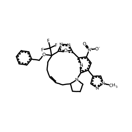 Cn1cc(-c2cc([N+](=O)[O-])c3nc2N2CCCC2CC=CCCC(OCc2ccccc2)(C(F)(F)F)c2nnc-3o2)cn1